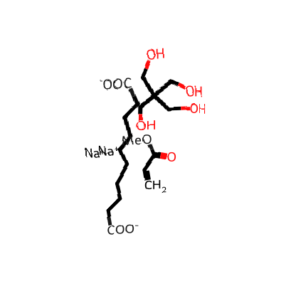 C=CC(=O)OC.O=C([O-])CCCCCCCCC(=O)[O-].OCC(CO)(CO)CO.[Na+].[Na+]